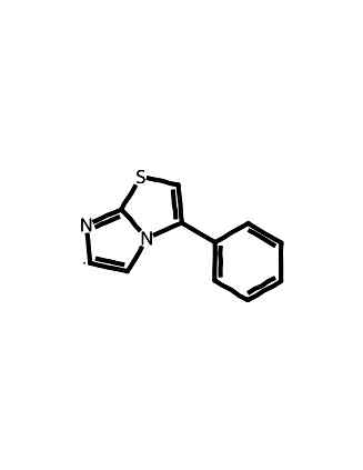 [c]1cn2c(-c3ccccc3)csc2n1